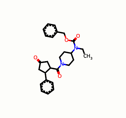 CCN(C(=O)OCc1ccccc1)C1CCN(C(=O)C2CC(=O)CC2c2ccccc2)CC1